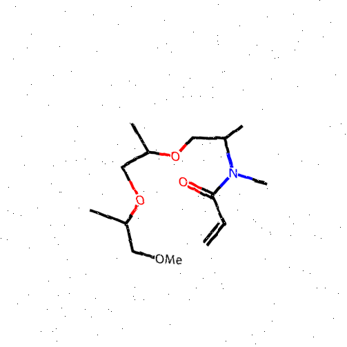 C=CC(=O)N(C)C(C)COC(C)COC(C)COC